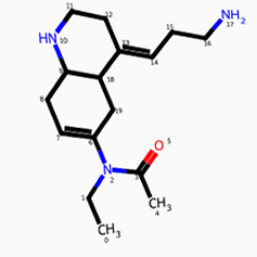 CCN(C(C)=O)C1=CCC2NCC/C(=C\CCN)C2C1